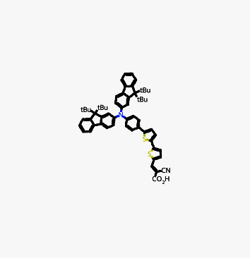 CC(C)(C)C1(C(C)(C)C)c2ccccc2-c2ccc(N(c3ccc(-c4ccc(-c5ccc(/C=C(\C#N)C(=O)O)s5)s4)cc3)c3ccc4c(c3)C(C(C)(C)C)(C(C)(C)C)c3ccccc3-4)cc21